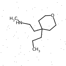 CCCC1(CCNC)CCOCC1